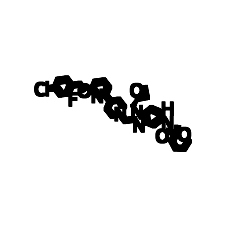 CC1(C(=O)Nc2ccc3c(c2)nc(CN2CCC(c4cccc(OCc5ccc(Cl)cc5F)n4)CC2)n3C[C@@H]2CCO2)CCCCO1